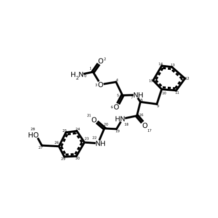 NC(=O)OCC(=O)NC(Cc1ccccc1)C(=O)NCC(=O)Nc1ccc(CO)cc1